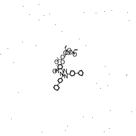 C=CC(=O)OCC(COC(=O)C(C)Oc1ccc(-c2nc(-c3ccc(-c4ccccc4)cc3)nc(-c3ccc(-c4ccccc4)cc3)n2)c(N=O)c1)OC(=O)C=C